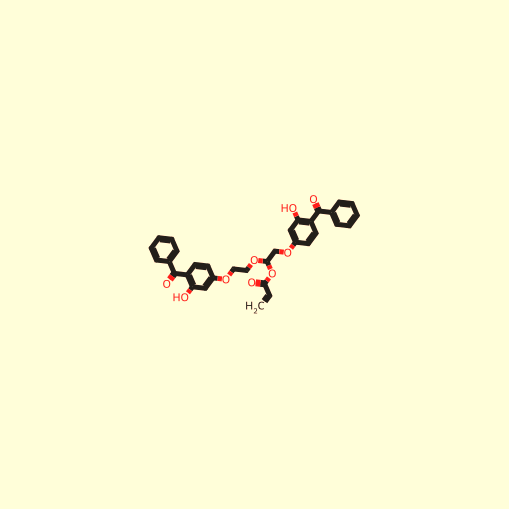 C=CC(=O)OC(COc1ccc(C(=O)c2ccccc2)c(O)c1)OCCOc1ccc(C(=O)c2ccccc2)c(O)c1